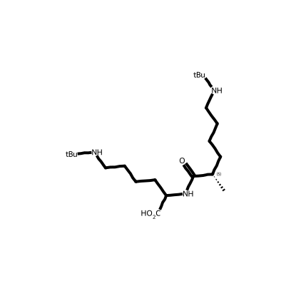 C[C@@H](CCCCNC(C)(C)C)C(=O)NC(CCCCNC(C)(C)C)C(=O)O